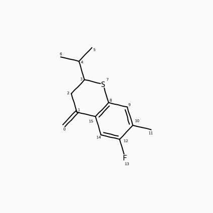 C=C1CC(C(C)C)Sc2cc(C)c(F)cc21